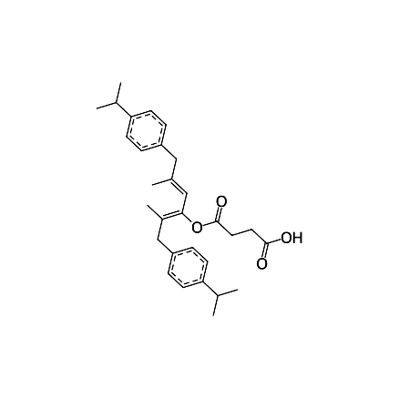 CC(=CC(OC(=O)CCC(=O)O)=C(C)Cc1ccc(C(C)C)cc1)Cc1ccc(C(C)C)cc1